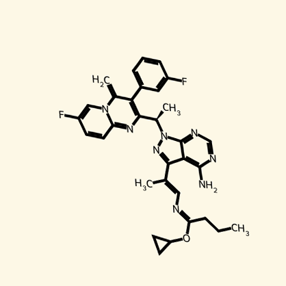 C=C1C(c2cccc(F)c2)=C([C@@H](C)n2nc(/C(C)=C/N=C(\CCC)OC3CC3)c3c(N)ncnc32)N=C2C=CC(F)=CN12